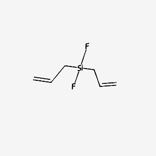 C=CC[Si](F)(F)CC=C